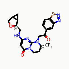 O=C(CN1c2nc(NC[C@H]3OCC4CC43)cc(=O)n2CC[C@H]1C(F)(F)F)c1ccc2snnc2c1